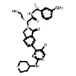 COc1cccc([C@@H](C)NC(=O)[C@@H](CCO)N2Cc3ccc(-c4nc(NC5CCOCC5)ncc4Cl)cc3C2=O)c1